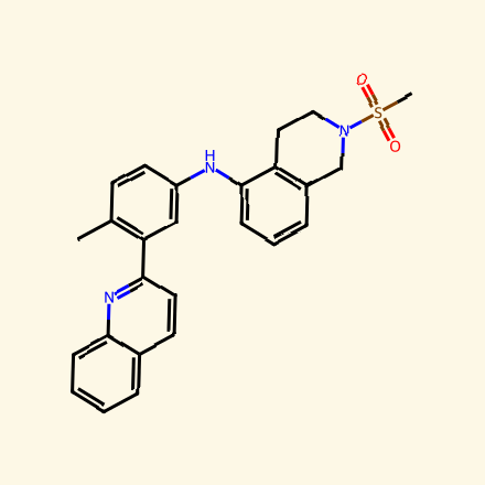 Cc1ccc(Nc2cccc3c2CCN(S(C)(=O)=O)C3)cc1-c1ccc2ccccc2n1